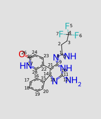 N=C(CCC(F)(F)F)/N=c1\[nH]c(N)nc(-c2ccccc2)c1-c1ccc(=O)[nH]c1